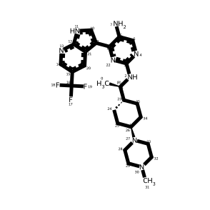 C[C@@H](Nc1ncc(N)c(-c2c[nH]c3ncc(C(F)(F)F)cc23)n1)[C@H]1CC[C@H](N2CCN(C)CC2)CC1